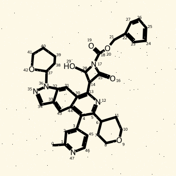 Cc1cc(-c2c(C3CCOCC3)nc(C3C(=O)N(C(=O)OCc4ccccc4)C3O)c3cc4c(cnn4C4CCCCO4)cc23)ccn1